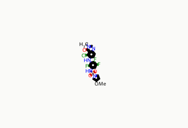 CO[C@@H]1CCN(S(=O)(=O)Nc2cc(F)c(F)c(Nc3ccc4ncn(C)c(=O)c4c3Cl)c2F)C1